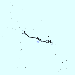 [CH2]/C=C/CCC